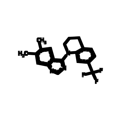 Cc1cc2ncnc(N3CCCc4ccc(C(F)(F)F)cc43)c2cc1C